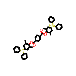 Cc1cc([SH](c2ccccc2)c2ccccc2)cc(C)c1OC(=O)c1ccc(C(=O)Oc2c(C)cc([SH](c3ccccc3)c3ccccc3)cc2C)cc1